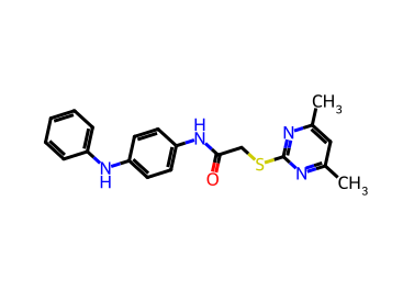 Cc1cc(C)nc(SCC(=O)Nc2ccc(Nc3ccccc3)cc2)n1